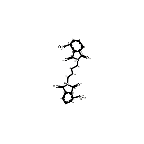 O=C1c2cccc([N+](=O)[O-])c2C(=O)N1CCCCN1C(=O)c2cccc([N+](=O)[O-])c2C1=O